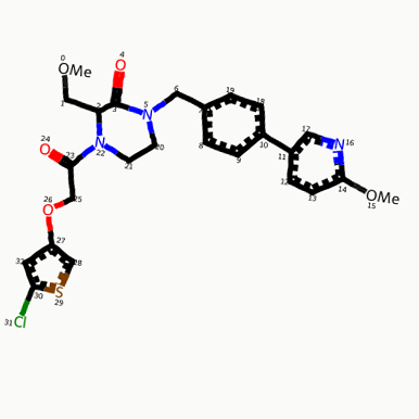 COCC1C(=O)N(Cc2ccc(-c3ccc(OC)nc3)cc2)CCN1C(=O)COc1csc(Cl)c1